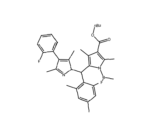 CCCCOC(=O)c1c(C)c(C(c2c(C)cc(C)cc2C)C2N=C(C)C(c3ccccc3F)=C2C)n(B(C)F)c1C